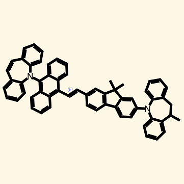 CC1Cc2ccccc2N(c2ccc3c(c2)C(C)(C)c2cc(/C=C/c4c5ccccc5c(N5c6ccccc6C=Cc6ccccc65)c5ccccc45)ccc2-3)c2ccccc21